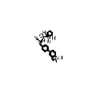 N#C[C@H](Cc1ccc(-c2ccc3[nH]ncc3c2)cc1)NC(=O)[C@H]1N[C@@H]2CC[C@H]1C2